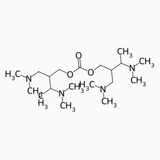 CC(C(COC(=O)OCC(CN(C)C)C(C)N(C)C)CN(C)C)N(C)C